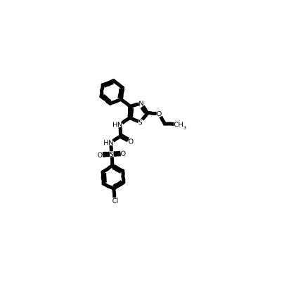 CCOc1nc(-c2ccccc2)c(NC(=O)NS(=O)(=O)c2ccc(Cl)cc2)s1